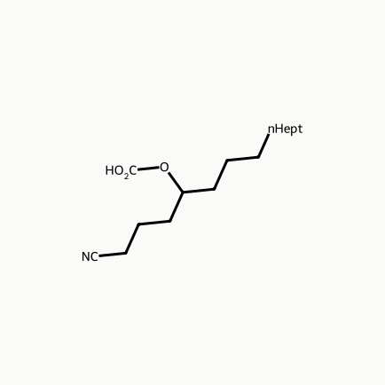 CCCCCCCCCCC(CCCC#N)OC(=O)O